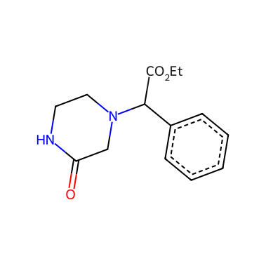 CCOC(=O)C(c1ccccc1)N1CCNC(=O)C1